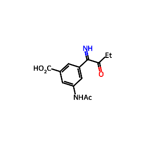 CCC(=O)C(=N)c1cc(NC(C)=O)cc(C(=O)O)c1